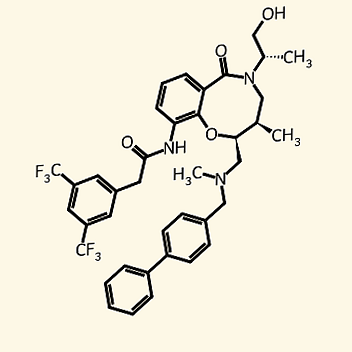 C[C@@H]1CN([C@@H](C)CO)C(=O)c2cccc(NC(=O)Cc3cc(C(F)(F)F)cc(C(F)(F)F)c3)c2O[C@@H]1CN(C)Cc1ccc(-c2ccccc2)cc1